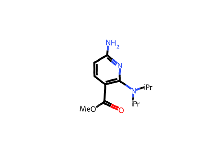 COC(=O)c1ccc(N)nc1N(C(C)C)C(C)C